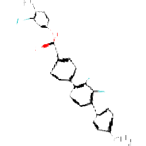 CCc1ccc(OC(=O)c2ccc(-c3ccc(-c4ccc(C)cc4)c(F)c3F)cc2)cc1F